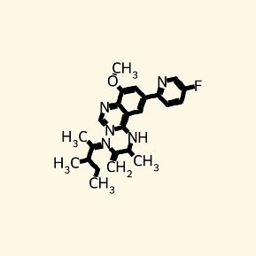 C=C(/N=C(/C)C(C)CC)C(C)Nc1ncnc2c(OC)cc(-c3ccc(F)cn3)cc12